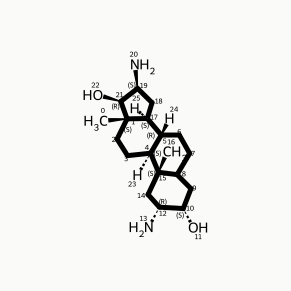 C[C@]12CC[C@H]3[C@@H](CCC4C[C@H](O)[C@H](N)C[C@@]43C)[C@@H]1C[C@H](N)[C@@H]2O